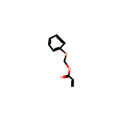 C=CC(=O)OCSc1ccccc1